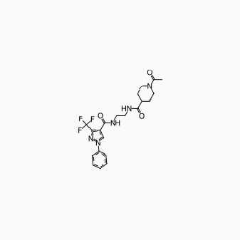 CC(=O)N1CCC(C(=O)NCCNC(=O)c2cn(-c3ccccc3)nc2C(F)(F)F)CC1